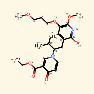 CCOC(=O)c1cn(C(Cc2cc(OCCCOC)c(OC)nc2Br)C(C)C)ccc1=O